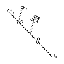 CCCCCCCCCCCOC(=O)CCCCCN(CCCCCCCC(=O)OC(CCCCCCCC)CCCCCCCC)CCCCCCNC(=O)NC